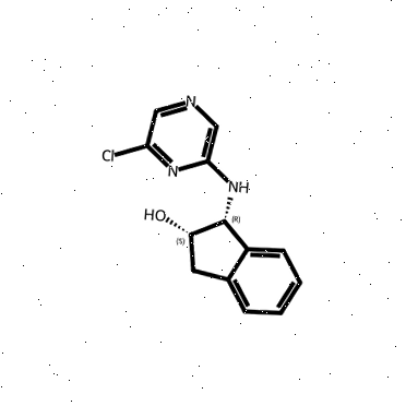 O[C@H]1Cc2ccccc2[C@H]1Nc1cncc(Cl)n1